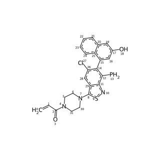 C=CC(=O)N1CCN(c2snc3c(P)c(-c4cc(O)cc5ccccc45)c(Cl)cc23)CC1